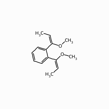 C/C=C(/OC)c1ccccc1/C(=C\C)OC